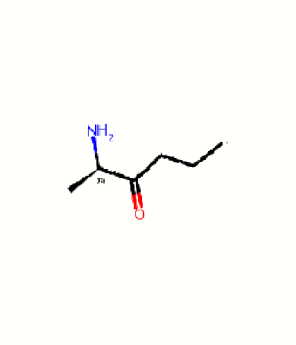 [CH2]CCC(=O)[C@@H](C)N